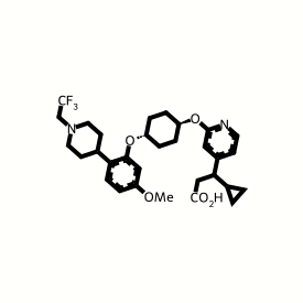 COc1ccc(C2CCN(CC(F)(F)F)CC2)c(O[C@H]2CC[C@H](Oc3cc(C(CC(=O)O)C4CC4)ccn3)CC2)c1